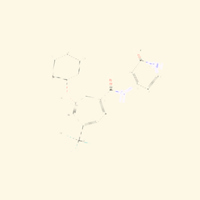 O=C(Nc1cc[nH]c(=O)c1)C1=CC=C(C(F)(F)F)C=C(OC2CCCCC2)C1